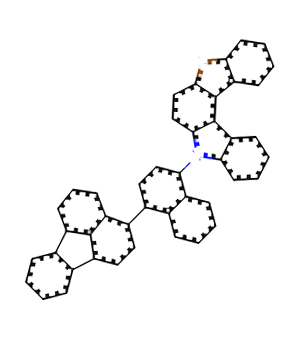 c1ccc2c(c1)-c1cccc3c(-c4ccc(-n5c6ccccc6c6c7c(ccc65)sc5ccccc57)c5ccccc45)ccc-2c13